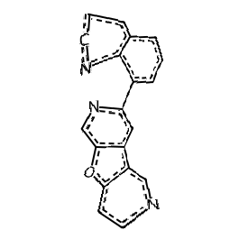 c1cnc2c(-c3cc4c(cn3)oc3ccncc34)cccc2c1